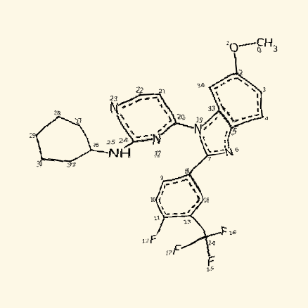 COc1ccc2nc(-c3ccc(F)c(C(F)(F)F)c3)n(-c3ccnc(NC4CCCCC4)n3)c2c1